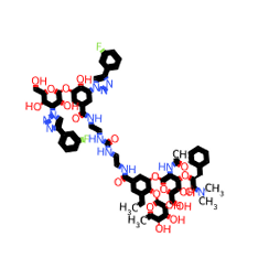 CCC1CC(C(=O)NCCNC(=O)NCCNC(=O)C2CC(n3cc(-c4cccc(F)c4)nn3)C(O)[C@H](O[C@@H]3OC(CO)[C@H](O)C(n4cc(-c5cccc(F)c5)nn4)C3O)C2)C[C@@H](O[C@@H]2OC(CO)[C@H](O)C(O[C@@H](CC3CCCCC3)C(=O)N(C)C)C2NC(C)=O)C1O[C@@H]1OC(C)[C@@H](O)C(O)C1O